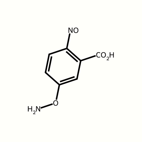 NOc1ccc(N=O)c(C(=O)O)c1